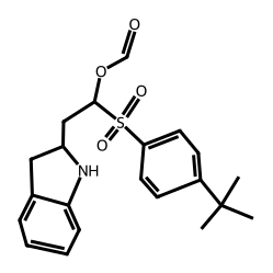 CC(C)(C)c1ccc(S(=O)(=O)C(CC2Cc3ccccc3N2)OC=O)cc1